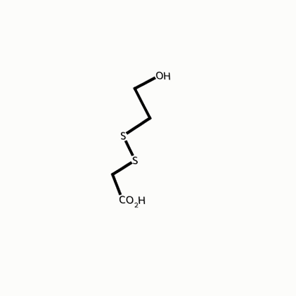 O=C(O)CSSCCO